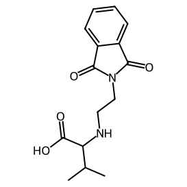 CC(C)C(NCCN1C(=O)c2ccccc2C1=O)C(=O)O